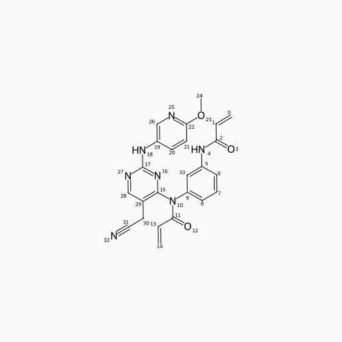 C=CC(=O)Nc1cccc(N(C(=O)C=C)c2nc(Nc3ccc(OC)nc3)ncc2CC#N)c1